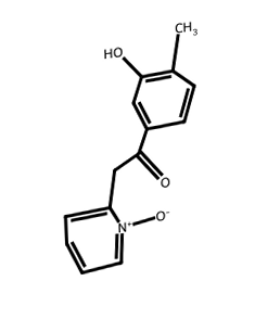 Cc1ccc(C(=O)Cc2cccc[n+]2[O-])cc1O